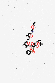 C=CCOC/C=C/[C@H]1CC(=C)[C@H](CC[C@H]2C[C@@H](C)C(=C)[C@@H](C[C@@H]3O[C@H](C[C@@H](CC)OC(C)(C)C)[C@H](OC)[C@H]3CS(=O)(=O)c3ccccc3)O2)O1